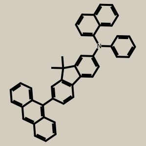 CC1(C)c2cc(-c3c4ccccc4cc4ccccc34)ccc2-c2ccc(N(c3ccccc3)c3cccc4ccccc34)cc21